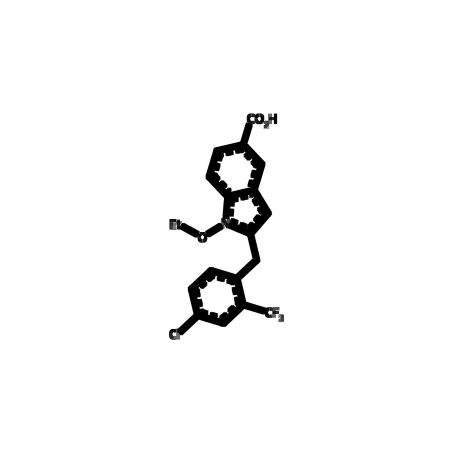 CCOn1c(Cc2ccc(Cl)cc2C(F)(F)F)cc2cc(C(=O)O)ccc21